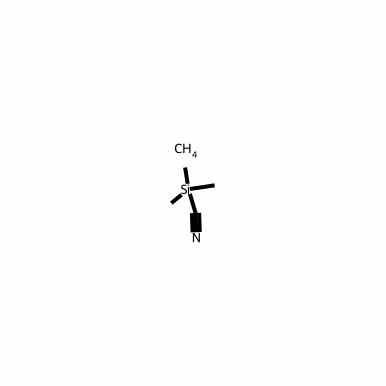 C.C[Si](C)(C)C#N